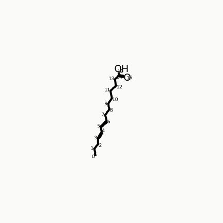 CCCC=CC=CCCCCCCCC(=O)O